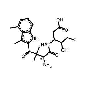 Cc1cccc2[nH]c(C(=O)C(C)(C)[C@H](N)C(=O)[AsH]C(CC(=O)O)C(O)CF)c(C)c12